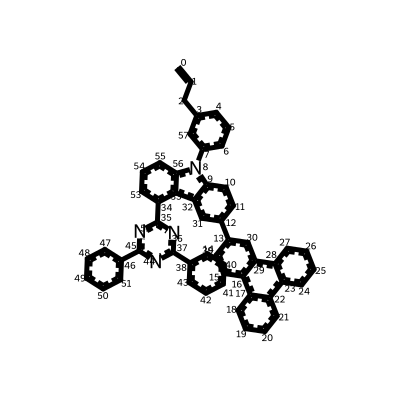 C=CCc1cccc(-n2c3ccc(-c4ccc5c6ccccc6c6ccccc6c5c4)cc3c3c(-c4nc(-c5ccccc5)nc(-c5ccccc5)n4)cccc32)c1